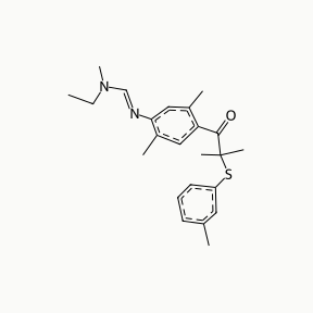 CCN(C)C=Nc1cc(C)c(C(=O)C(C)(C)Sc2cccc(C)c2)cc1C